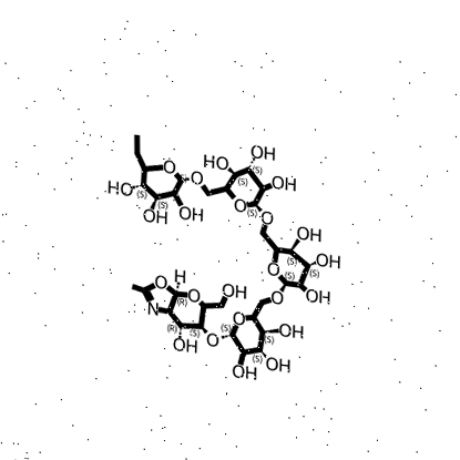 CCC1O[C@H](OCC2O[C@H](OCC3O[C@H](OCC4O[C@@H](O[C@@H]5C(CO)O[C@@H]6OC(C)=NC6[C@H]5O)C(O)[C@@H](O)[C@@H]4O)C(O)[C@@H](O)[C@@H]3O)C(O)[C@@H](O)[C@@H]2O)C(O)[C@@H](O)[C@@H]1O